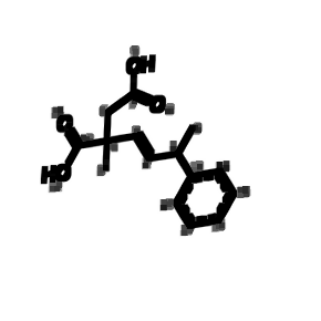 CC(C=CC(C)(CC(=O)O)C(=O)O)c1ccccc1